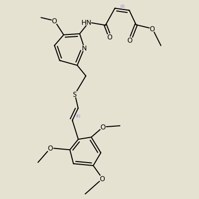 COC(=O)/C=C\C(=O)Nc1nc(CS/C=C/c2c(OC)cc(OC)cc2OC)ccc1OC